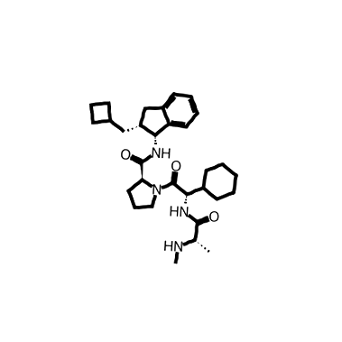 CN[C@@H](C)C(=O)N[C@H](C(=O)N1CCC[C@H]1C(=O)N[C@H]1c2ccccc2C[C@H]1CC1CCC1)C1CCCCC1